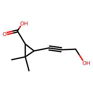 CC1(C)C(C#CCO)C1C(=O)O